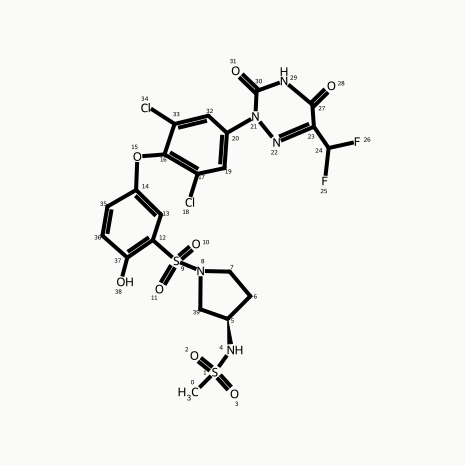 CS(=O)(=O)N[C@@H]1CCN(S(=O)(=O)c2cc(Oc3c(Cl)cc(-n4nc(C(F)F)c(=O)[nH]c4=O)cc3Cl)ccc2O)C1